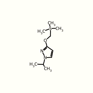 CC(C)n1ccc(OCS(C)(C)C)n1